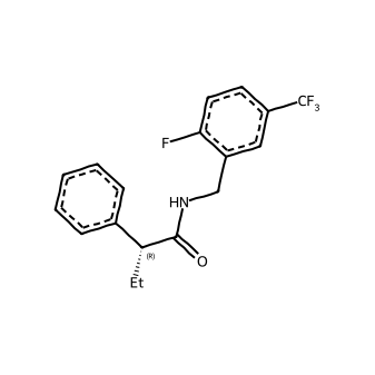 CC[C@@H](C(=O)NCc1cc(C(F)(F)F)ccc1F)c1ccccc1